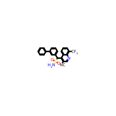 N#Cc1cnc2c(C(F)(F)F)cccc2c1C(c1cccc(-c2ccccc2)c1)S(N)(=O)=O